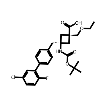 CCOC[C@]1(C(=O)O)C[C@](Cc2ccc(-c3cc(Cl)ccc3F)cc2)(NC(=O)OC(C)(C)C)C1